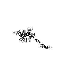 CC(C[C@H](Cc1ccc(OP(=O)(O)O)c(NC(=O)CCOCCOCCOCCNC/C=C\O)c1)NC(=O)OC(C)(C)C)C(=O)O